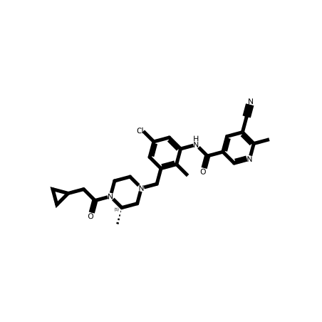 Cc1ncc(C(=O)Nc2cc(Cl)cc(CN3CCN(C(=O)CC4CC4)[C@@H](C)C3)c2C)cc1C#N